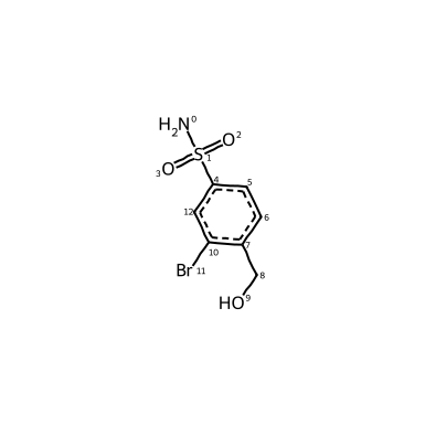 NS(=O)(=O)c1ccc(CO)c(Br)c1